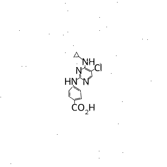 O=C(O)c1ccc(Nc2ncc(Cl)c(NC3CC3)n2)cc1